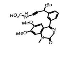 COc1cc2c(cc1OC)N(C)C(=O)CN=C2c1cccc(C(C#CNC(=O)O)C(C)(C)C)c1